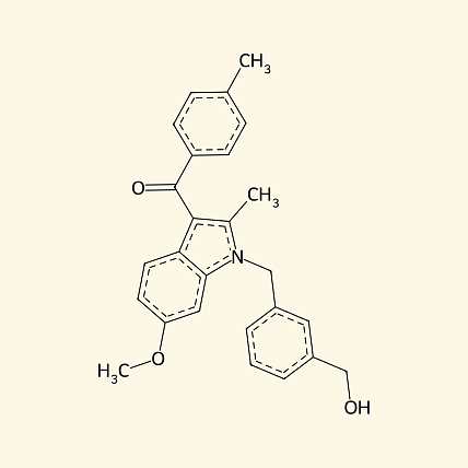 COc1ccc2c(C(=O)c3ccc(C)cc3)c(C)n(Cc3cccc(CO)c3)c2c1